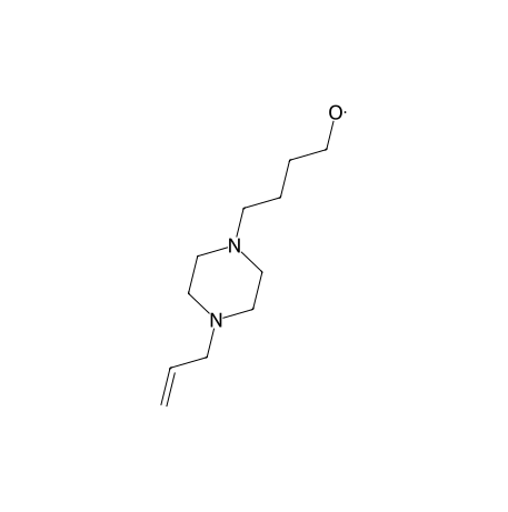 C=CCN1CCN(CCCC[O])CC1